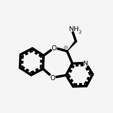 NC[C@@H]1Oc2ccccc2Oc2cccnc21